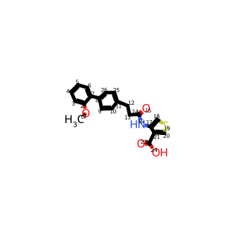 COc1ccccc1-c1ccc(CCC(=O)Nc2cscc2C(=O)O)cc1